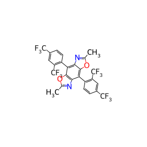 Cc1nc2c(-c3ccc(C(F)(F)F)cc3C(F)(F)F)c3oc(C)nc3c(-c3ccc(C(F)(F)F)cc3C(F)(F)F)c2o1